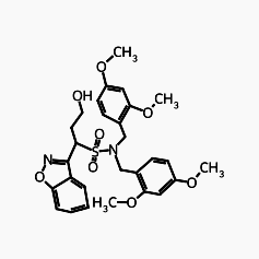 COc1ccc(CN(Cc2ccc(OC)cc2OC)S(=O)(=O)C(CCO)c2noc3ccccc23)c(OC)c1